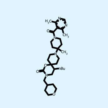 CCCCC1CN(CC2CCOCC2)C(=O)OC12CCN(C1(C)CCN(C(=O)c3c(C)ncnc3C)CC1)CC2